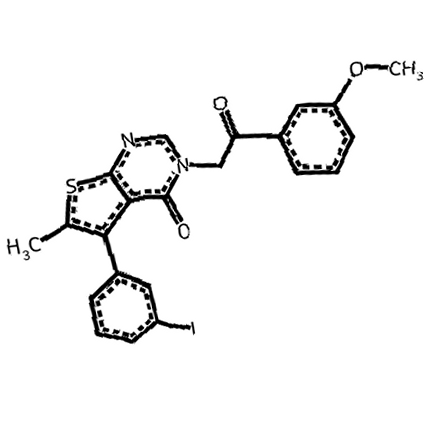 COc1cccc(C(=O)Cn2cnc3sc(C)c(-c4cccc(I)c4)c3c2=O)c1